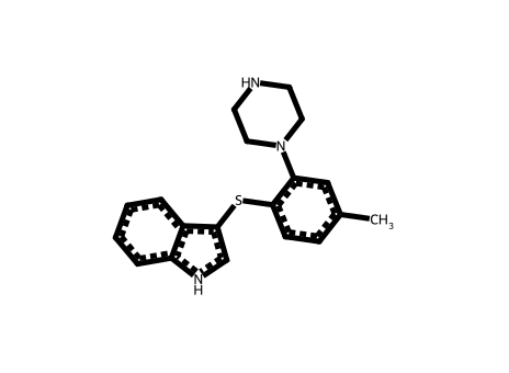 Cc1ccc(Sc2c[nH]c3ccccc23)c(N2CCNCC2)c1